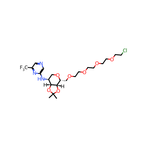 CC1(C)O[C@@H]2[C@H](O1)[C@@H](Nc1cncc(C(F)(F)F)n1)CO[C@@H]2COCCOCCOCCOCCCl